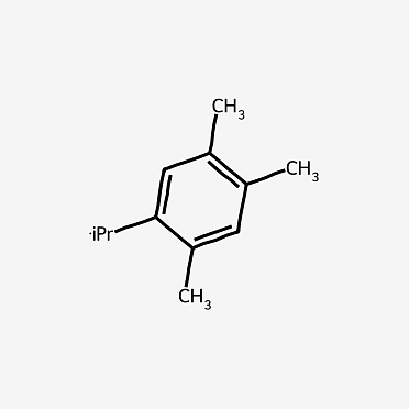 C[C](C)c1cc(C)c(C)cc1C